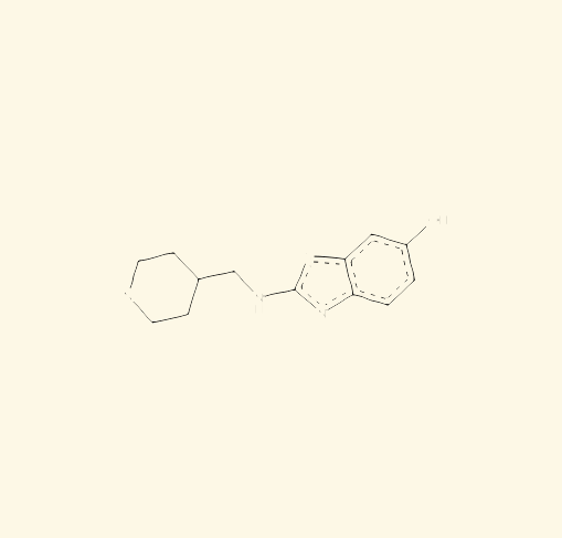 Oc1ccc2nc(NCC3CCNCC3)sc2c1